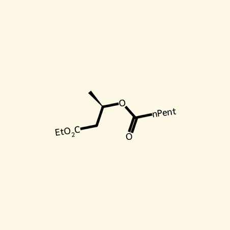 CCCCCC(=O)O[C@H](C)CC(=O)OCC